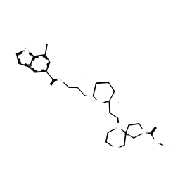 Cc1cc(C(=O)NC[C@H](O)C[C@H]2CC[C@H](C)[C@](CCN3CCOCC34CCN(C(=O)OC(C)(C)C)C4)(C(=O)O)O2)cc2cc[nH]c12